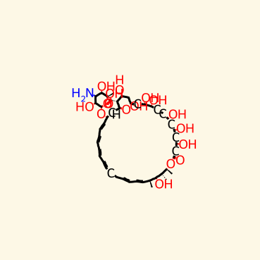 C[C@@H]1[C@H](O)[C@@H](C)/C=C/C=C/CC/C=C/C=C/C=C/C=C/[C@H](O[C@@H]2O[C@H](C)[C@@H](O)[C@H](N)[C@@H]2O)C[C@@H]2O[C@](O)(C[C@@H](O)[C@H](O)CC[C@@H](O)C[C@@H](O)C[C@@H](O)CC(=O)O[C@H]1C)C[C@H](O)[C@H]2C(=O)O